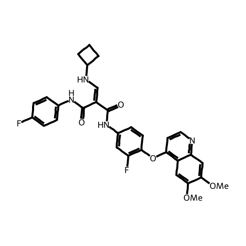 COc1cc2nccc(Oc3ccc(NC(=O)/C(=C/NC4CCC4)C(=O)Nc4ccc(F)cc4)cc3F)c2cc1OC